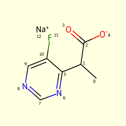 CC(C(=O)[O-])c1ncncc1F.[Na+]